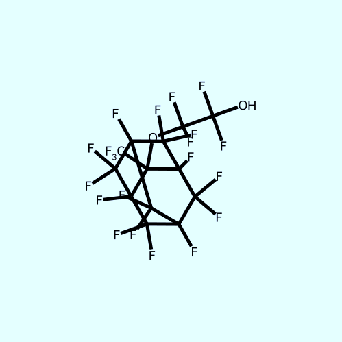 OC(F)(F)C(F)(F)OC1(C(F)(F)F)C2(F)C(F)(F)C3(F)C(F)(F)C(F)(C2(F)F)C(F)(F)C1(F)C3(F)F